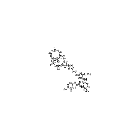 C=CC(=O)N[C@@H]1CN(c2nc(Nc3cn(CCCCCNC(=O)CN4CCN(CC)CC(=O)ON5OC(=O)CN(C)CCN(CC4)CC(=O)O5)nc3OC)c3ncn(C(C)(C)C)c3n2)C[C@H]1F